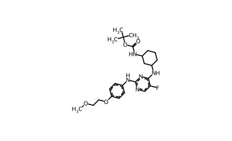 COCCOc1ccc(Nc2ncc(F)c(NC3CCCC(NC(=O)OC(C)(C)C)C3)n2)cc1